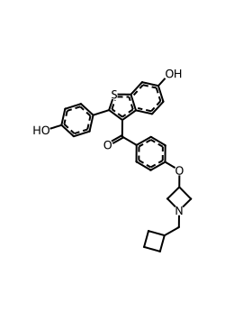 O=C(c1ccc(OC2CN(CC3CCC3)C2)cc1)c1c(-c2ccc(O)cc2)sc2cc(O)ccc12